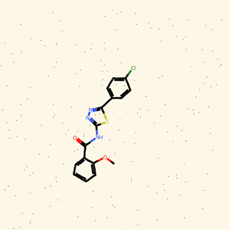 COc1ccccc1C(=O)Nc1nnc(-c2ccc(Cl)cc2)s1